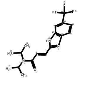 CC(C)N(C(=O)C=Cc1nc2ccc(C(F)(F)F)cc2[nH]1)C(C)C